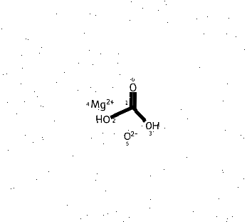 O=C(O)O.[Mg+2].[O-2]